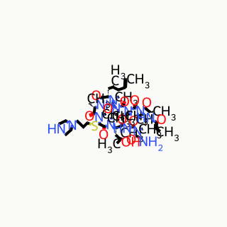 C/C=C/C[C@@H](C)C[C@@H](C(=O)N[C@@H](CC)C(=O)N(C)[C@H](SCCCN1CCNCC1)C(=O)N(C)[C@@H](CC(C)(C)O)C(=O)NC(=O)N(C)C(N)=O)N(C)C(=O)N(C)C(=O)N(C)C(=O)N(C)C(=O)[C@@H](C)NC(=O)CC